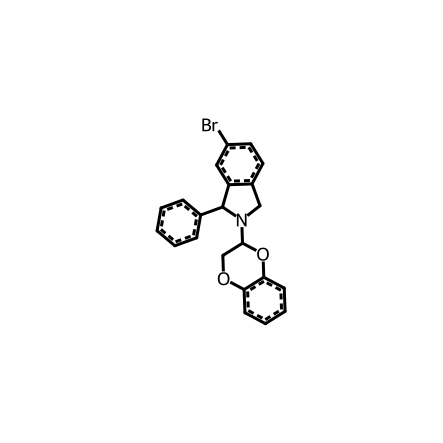 Brc1ccc2c(c1)C(c1ccccc1)N(C1COc3ccccc3O1)C2